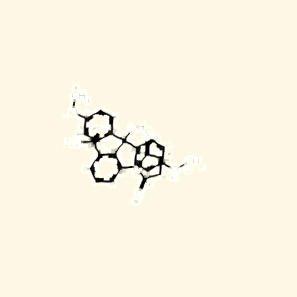 COc1ccc(C(O)(c2ccc(OC)cc2)c2c(C(=O)O)cccc2N2C(=O)CCC2=O)cc1